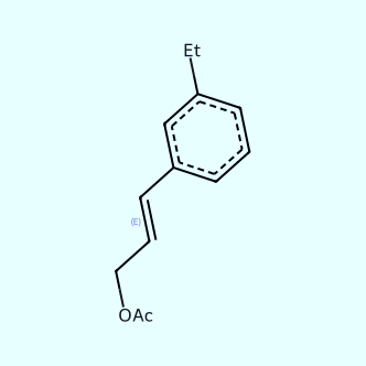 CCc1cccc(/C=C/COC(C)=O)c1